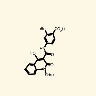 CCCCCCn1c(=O)c(C(=O)Nc2ccc(C(=O)O)c(CCCC)c2)c(O)c2ccccc21